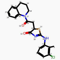 Cc1c(Cl)cccc1NC1=NC(=O)C(CC(=O)N2CCCc3ccccc32)S1